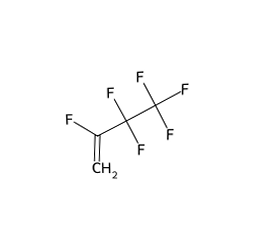 C=C(F)C(F)(F)C(F)(F)F